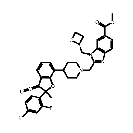 COC(=O)c1ccc2nc(CN3CCC(c4cccc5c4OC(C)(c4ccc(Cl)cc4F)C5=C=O)CC3)n(C[C@@H]3CCO3)c2c1